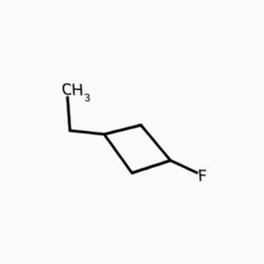 CCC1CC(F)C1